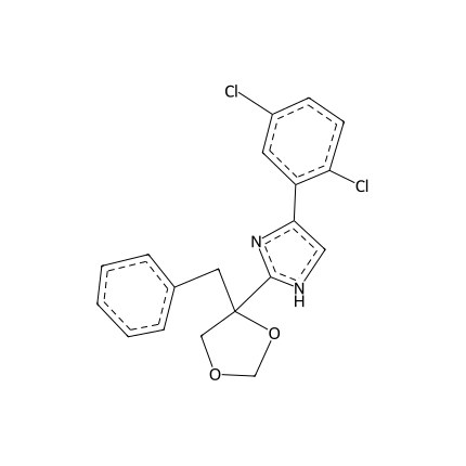 Clc1ccc(Cl)c(-c2c[nH]c(C3(Cc4ccccc4)COCO3)n2)c1